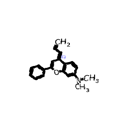 C=C/C=C1\C=C(c2ccccc2)Oc2cc(N(C)C)ccc21